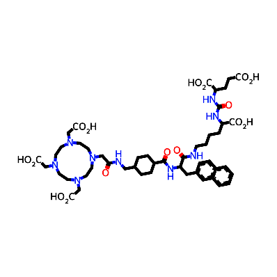 O=C(O)CCC(NC(=O)NC(CCCCNC(=O)C(Cc1ccc2ccccc2c1)NC(=O)C1CCC(CNC(=O)CN2CCN(CC(=O)O)CCN(CC(=O)O)CCN(CC(=O)O)CC2)CC1)C(=O)O)C(=O)O